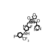 O=C(N[C@@]1(C(=O)NCc2ncc(Nc3ccc(F)cc3C(F)(F)F)cc2F)CCOC1)c1cncnc1